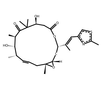 C/C(=C\c1csc(C)n1)[C@@H]1C[C@@H]2O[C@]2(C)C/C=C/[C@H](C)[C@H](O)[C@@H](C)C(=O)C(C)(C)[C@@H](O)CC(=O)O1